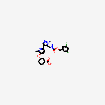 Cc1nc(-c2cnn(C)c2CNC(=O)OCc2cc(F)cc(F)c2)ccc1O[C@H]1CCC[C@H](C(=O)O)C1